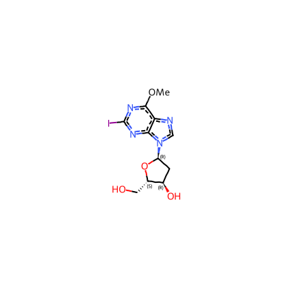 COc1nc(I)nc2c1ncn2[C@H]1C[C@@H](O)[C@H](CO)O1